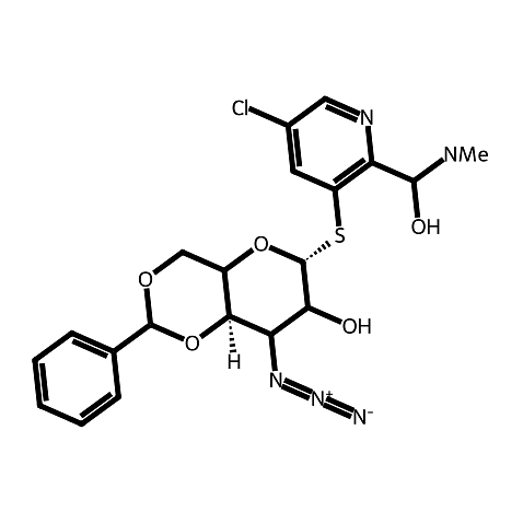 CNC(O)c1ncc(Cl)cc1S[C@H]1OC2COC(c3ccccc3)O[C@@H]2C(N=[N+]=[N-])C1O